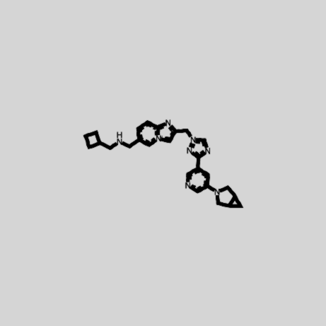 c1cc2nc(Cn3cnc(-c4cncc(N5CC6CC6C5)c4)n3)cn2cc1CNCC1CCC1